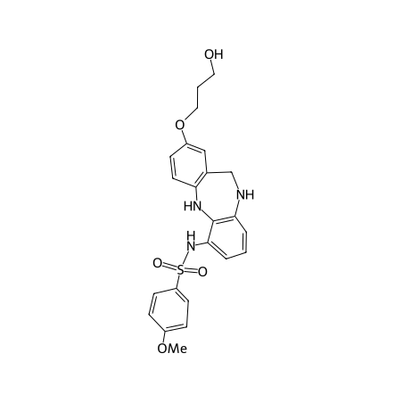 COc1ccc(S(=O)(=O)Nc2cccc3c2Nc2ccc(OCCCO)cc2CN3)cc1